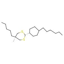 CCCCCCC1CCC([C@H]2SC[C@](C)(CCCCC)CS2)CC1